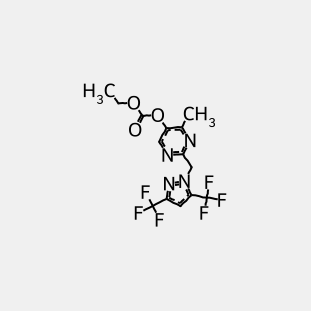 CCOC(=O)Oc1cnc(Cn2nc(C(F)(F)F)cc2C(F)(F)F)nc1C